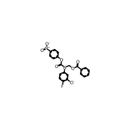 O=C(OCN(C(=O)Oc1ccc([N+](=O)[O-])cc1)c1ccc(F)c(Cl)c1)c1ccccc1